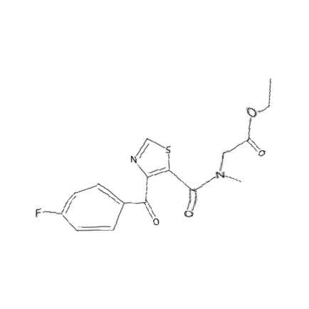 CCOC(=O)CN(C)C(=O)c1scnc1C(=O)c1ccc(F)cc1